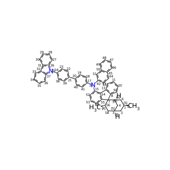 C[C@H]1C[C@@H]2C[C@H](C1)C1(c3ccccc3-c3c(N(c4ccc(-c5ccc(-n6c7ccccc7c7ccccc76)cc5)cc4)c4ccc5ccccc5c4)cccc31)[C@H](C)C2